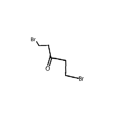 O=C(CCBr)CCBr